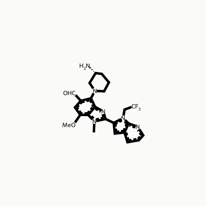 COc1cc(C=O)c(N2CCC[C@@H](N)C2)c2nc(-c3cc4cccnc4n3CC(F)(F)F)n(C)c12